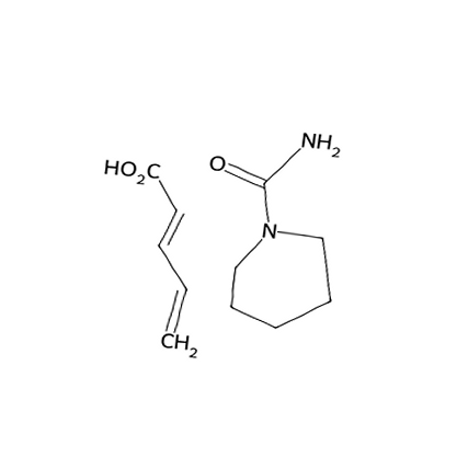 C=CC=CC(=O)O.NC(=O)N1CCCCC1